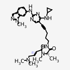 C[C@@H](C(=O)NCCCC#Cc1cnc(Nc2ccc3cnn(C)c3c2)nc1NC1CC1)N(C)C(=O)/C=C/CN(C)C